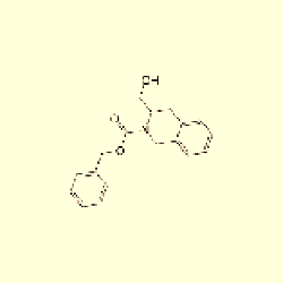 O=C(OCc1ccccc1)N1Cc2ccccc2CC1CO